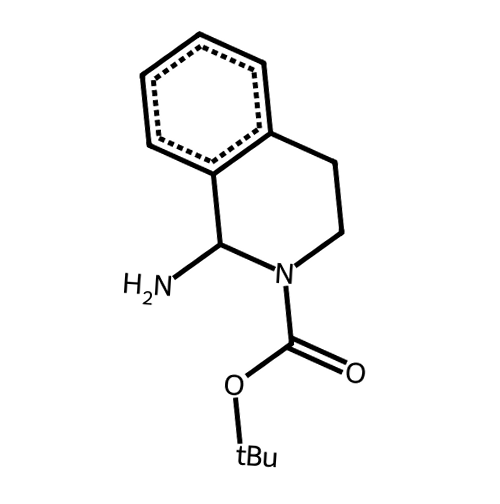 CC(C)(C)OC(=O)N1CCc2ccccc2C1N